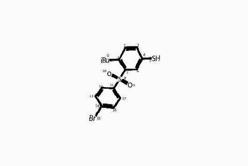 CCC(C)c1ccc(S)cc1S(=O)(=O)c1ccc(Br)cc1